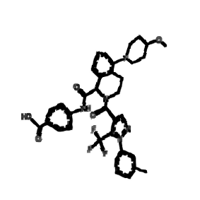 COC1CCN(c2cccc3c2CCN(C(=O)c2cnn(-c4cccc(C)c4)c2C(F)(F)F)C3C(=O)Nc2ccc(C(=O)O)cc2)CC1